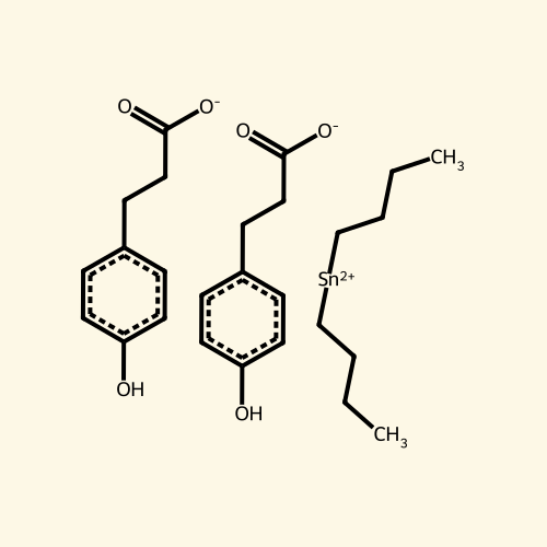 CCC[CH2][Sn+2][CH2]CCC.O=C([O-])CCc1ccc(O)cc1.O=C([O-])CCc1ccc(O)cc1